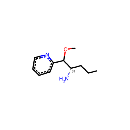 CCC[C@H](N)C(OC)c1ccccn1